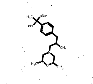 CCCCC(C)(CCC)c1ccc(CC(C)CN2CC(C)OC(C)C2)cc1